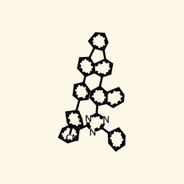 N#Cc1ccc(-c2ccc(-c3ccc4c5c(ccc(-c6ccc(-c7nc(-c8ccccc8)nc(-c8ccccc8)n7)c7ccccc67)c35)-c3ccccc3-4)cc2)cc1